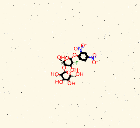 O=[N+]([O-])c1ccc(O[C@@H]2O[C@H](CO)[C@@H](O[C@@H]3O[C@H](CO)[C@@H](O)[C@H](O)[C@H]3O)[C@H](O)[C@H]2F)c([N+](=O)[O-])c1